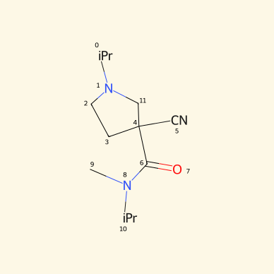 CC(C)N1CCC(C#N)(C(=O)N(C)C(C)C)C1